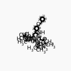 CC(C)(C)OC(=O)NC(CSc1[nH]c2cc(OCc3ccccc3)ccc2c1CC(NC(=O)OCC[Si](C)(C)C)C(=O)OCC(Cl)(Cl)Cl)C(=O)OC(C)(C)C